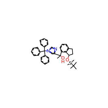 CC(O)(c1cn(C(c2ccccc2)(c2ccccc2)c2ccccc2)cn1)c1cccc2c1C(O[Si](C)(C)C(C)(C)C)CC2